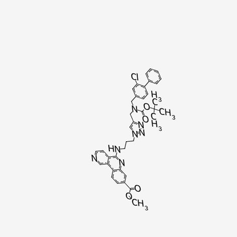 COC(=O)c1ccc2c(c1)nc(NCCCn1cc(CN(Cc3ccc(-c4ccccc4)c(Cl)c3)C(=O)OC(C)(C)C)nn1)c1ccncc12